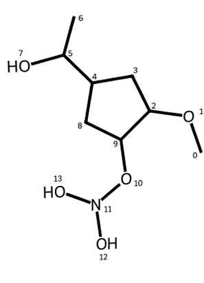 COC1CC(C(C)O)CC1ON(O)O